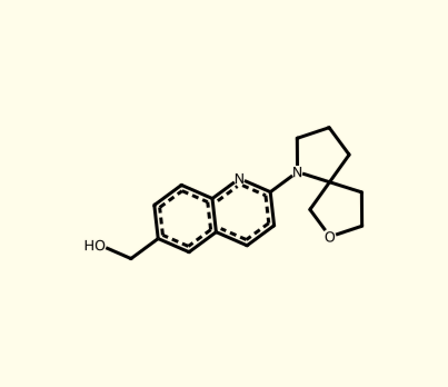 OCc1ccc2nc(N3CCCC34CCOC4)ccc2c1